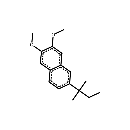 CCC(C)(C)c1ccc2cc(OC)c(OC)cc2c1